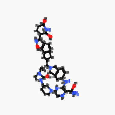 CN1CCN([C@@H]2CCCN(c3cnc(C(N)=O)c(Nc4ccc5c(c4)CN(CC4Cc6ccc7c(C8CCC(=O)NC8=O)noc7c6C4)C5)n3)C2)C1=O